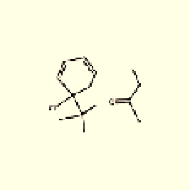 CC(C)(C)C1(Cl)C=CC=CC1.CCC(C)=O